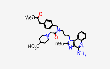 CCCCc1nc2c(N)nc3ccccc3c2n1CCCN(Cc1ccc(CC(=O)OC)cc1)C(=O)CN1CCC(C(=O)O)CC1